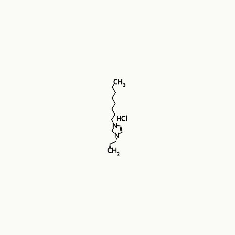 C=CCN1C=CN(CCCCCCCC)C1.Cl